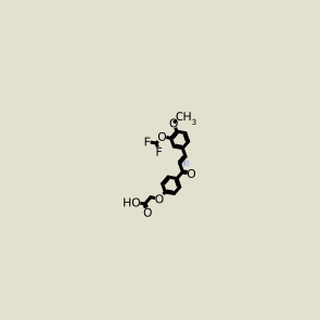 COc1ccc(/C=C/C(=O)c2ccc(OCC(=O)O)cc2)cc1OC(F)F